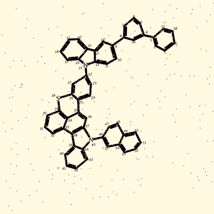 c1ccc(-c2cccc(-c3ccc4c(c3)c3ccccc3n4-c3ccc4c(c3)Sc3cccc5c3c-4cc3c5c4ccccc4n3-c3ccc4ccccc4c3)c2)cc1